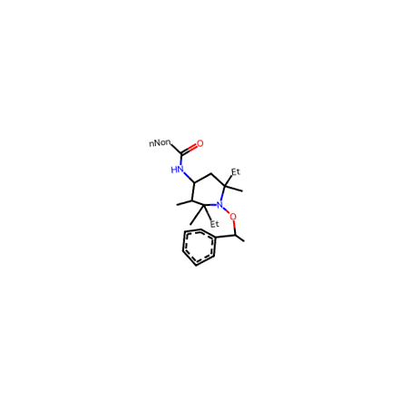 CCCCCCCCCC(=O)NC1CC(C)(CC)N(OC(C)c2ccccc2)C(C)(CC)C1C